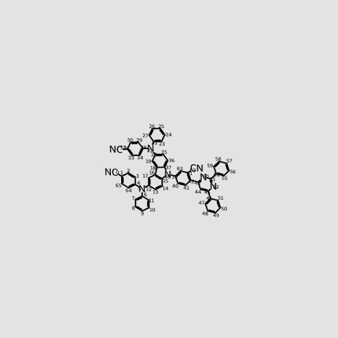 N#Cc1ccc(N(c2ccccc2)c2ccc3c(c2)c2cc(N(c4ccccc4)c4ccc(C#N)cc4)ccc2n3-c2ccc(-c3cc(-c4ccccc4)nc(-c4ccccc4)n3)c(C#N)c2)cc1